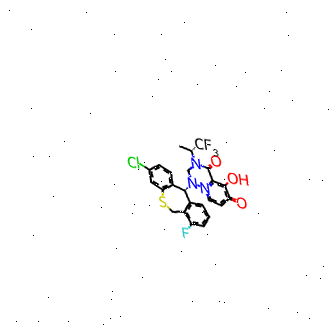 C[C@@H](N1CN([C@H]2c3ccc(Cl)cc3SCc3c(F)cccc32)n2ccc(=O)c(O)c2C1=O)C(F)(F)F